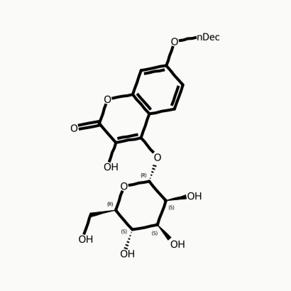 CCCCCCCCCCOc1ccc2c(O[C@H]3O[C@H](CO)[C@@H](O)[C@H](O)[C@@H]3O)c(O)c(=O)oc2c1